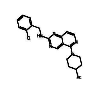 CC(=O)C1CCN(c2nccc3nc(NCc4ccccc4Cl)ncc23)CC1